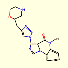 CC(C)n1c(=O)c2c(-n3cc(CC4CNCCO4)nn3)ncn2c2ccccc21